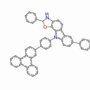 c1ccc(-c2ccc3c(c2)c2ccc4c(c2n3-c2ccc(-c3ccc5c6ccccc6c6ccccc6c5c3)cc2)OC(c2ccccc2)N4)cc1